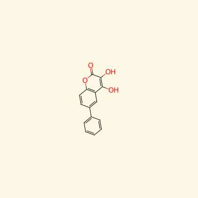 O=c1oc2ccc(-c3ccccc3)cc2c(O)c1O